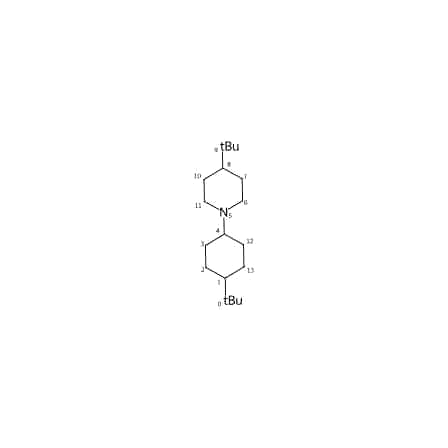 CC(C)(C)C1CCC(N2CCC(C(C)(C)C)CC2)CC1